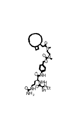 CCN[C@H](C(=O)N[C@@H](CCCNC(N)=O)C(=O)Nc1ccc(COC(=O)N(C)CCN(C)C(=O)CC2CCCCCCC/C=C\CCC3CCC32)cc1)C(C)C